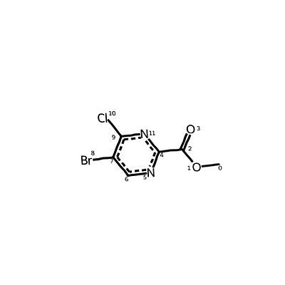 COC(=O)c1ncc(Br)c(Cl)n1